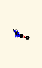 [C-]#[N+]c1cnc2c(c1)ncn2-c1ccc(OCc2ccccc2)cc1